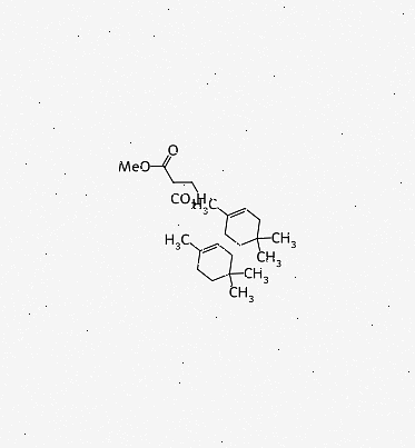 CC1=CCC(C)(C)CC1.CC1=CCC(C)(C)CC1.COC(=O)CCC(=O)O